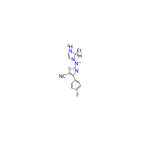 [2H]N1C=CN(N(C)c2nc(-c3ccc(F)cc3)c(C#N)s2)C1([2H])CC